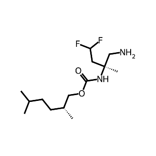 CC(C)CC[C@@H](C)COC(=O)N[C@](C)(CN)CC(F)F